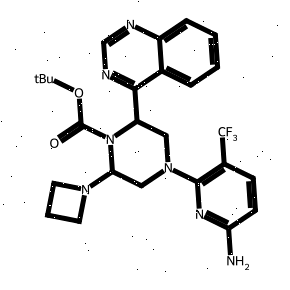 CC(C)(C)OC(=O)N1C(c2ncnc3ccccc23)CN(c2nc(N)ccc2C(F)(F)F)CC1N1CCC1